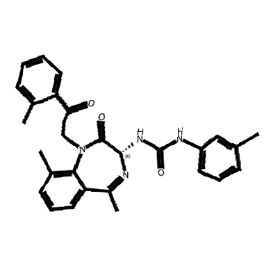 CC1=N[C@@H](NC(=O)Nc2cccc(C)c2)C(=O)N(CC(=O)c2ccccc2C)c2c(C)cccc21